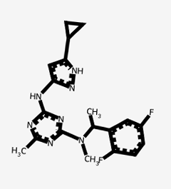 Cc1nc(Nc2cc(C3CC3)[nH]n2)nc(N(C)C(C)c2cc(F)ccc2F)n1